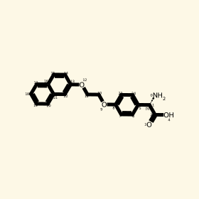 N[C@H](C(=O)O)c1ccc(OCCOc2ccc3ccccc3c2)cc1